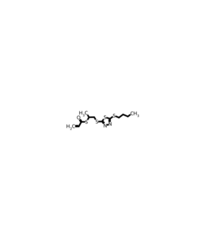 C=CC(=O)SC(C)CSc1nnc(SCCCC)s1